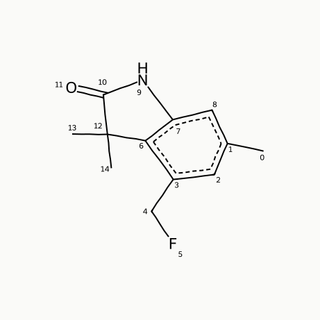 Cc1cc(CF)c2c(c1)NC(=O)C2(C)C